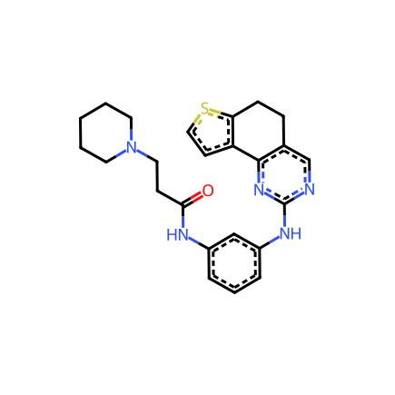 O=C(CCN1CCCCC1)Nc1cccc(Nc2ncc3c(n2)-c2ccsc2CC3)c1